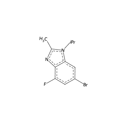 Cc1nc2c(F)cc(Br)cc2n1C(C)C